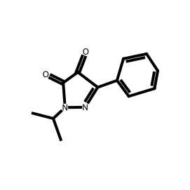 CC(C)N1N=C(c2ccccc2)C(=O)C1=O